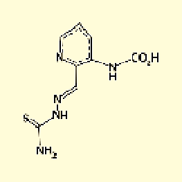 NC(=S)NN=Cc1ncccc1NC(=O)O